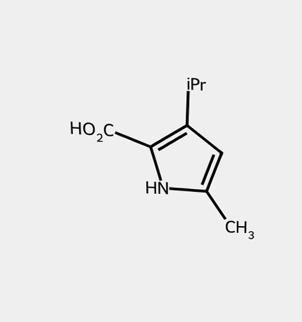 Cc1cc(C(C)C)c(C(=O)O)[nH]1